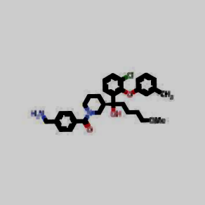 COCCCCC(O)(c1cccc(Cl)c1Oc1cccc(C)c1)[C@@H]1CCCN(C(=O)c2ccc(CN)cc2)C1